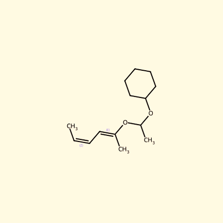 C/C=C\C=C(/C)OC(C)OC1CCCCC1